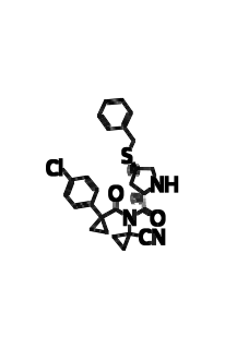 N#CC1(N(C(=O)[C@@H]2C[C@@H](SCc3ccccc3)CN2)C(=O)C2(c3ccc(Cl)cc3)CC2)CC1